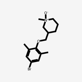 Cc1cc(Br)cc(C)c1OCC1CCC[N+](C)([O-])C1